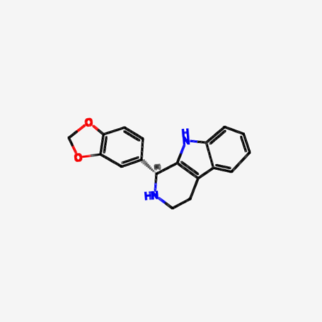 c1ccc2c3c([nH]c2c1)[C@@H](c1ccc2c(c1)OCO2)NCC3